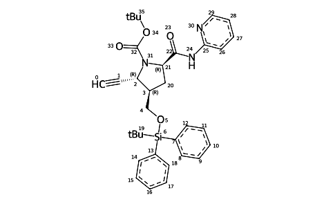 C#C[C@H]1[C@H](CO[Si](c2ccccc2)(c2ccccc2)C(C)(C)C)C[C@H](C(=O)Nc2ccccn2)N1C(=O)OC(C)(C)C